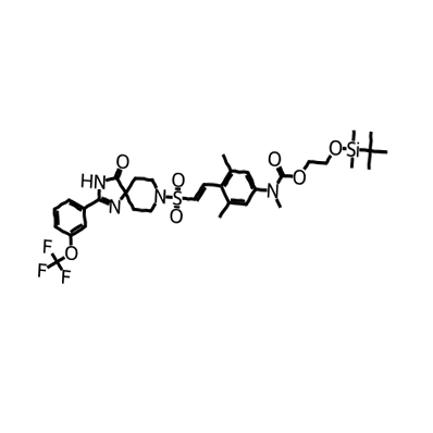 Cc1cc(N(C)C(=O)OCCO[Si](C)(C)C(C)(C)C)cc(C)c1C=CS(=O)(=O)N1CCC2(CC1)N=C(c1cccc(OC(F)(F)F)c1)NC2=O